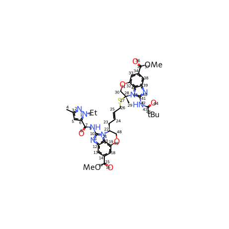 CCn1nc(C)cc1C(=O)Nc1nc2cc(C(=O)OC)cc3c2n1[C@@H](C/C=C/CS[C@]1(C)COc2cc(C(=O)OC)cc4nc(NC(=O)C(C)(C)C)n1c24)CO3